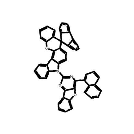 c1ccc2c(c1)Oc1c(ccc3c1c1ccccc1n3-c1nc(-c3cccc4ccccc34)c3oc4ccccc4c3n1)C21c2ccccc2-c2ccccc21